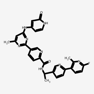 Cc1cc(Nc2cc[nH]c(=O)c2)nc(-c2ccc(C(=O)NC(C)c3ccc(-c4ccc(F)nc4C)nc3)nc2)n1